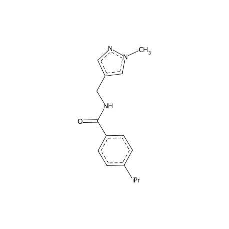 CC(C)c1ccc(C(=O)NCc2cnn(C)c2)cc1